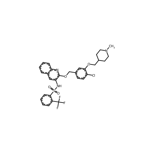 CN1CCC(COc2cc(COc3nc4ccccc4cc3NS(=O)(=O)c3ccccc3C(F)(F)F)ccc2Cl)CC1